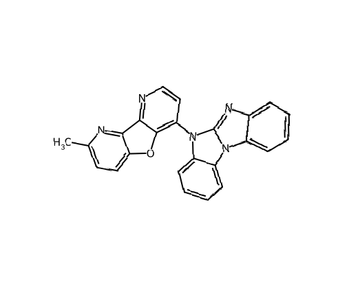 Cc1ccc2oc3c(-n4c5ccccc5n5c6ccccc6nc45)ccnc3c2n1